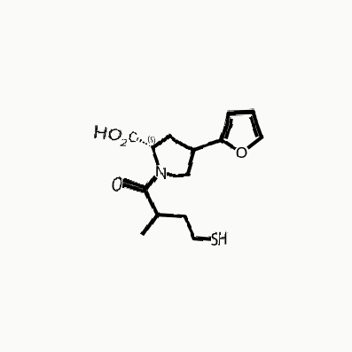 CC(CCS)C(=O)N1CC(c2ccco2)C[C@H]1C(=O)O